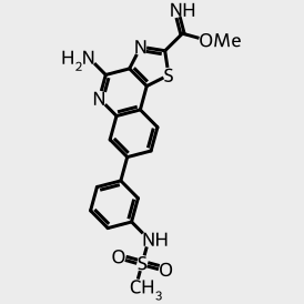 COC(=N)c1nc2c(N)nc3cc(-c4cccc(NS(C)(=O)=O)c4)ccc3c2s1